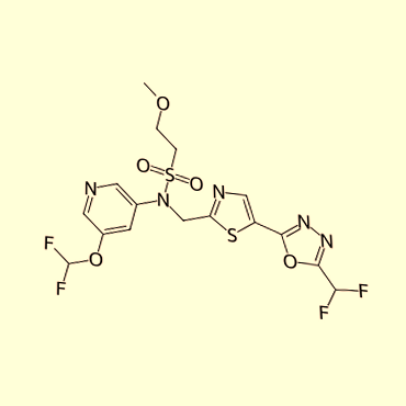 COCCS(=O)(=O)N(Cc1ncc(-c2nnc(C(F)F)o2)s1)c1cncc(OC(F)F)c1